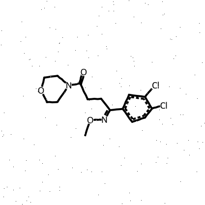 CON=C(CCC(=O)N1CCOCC1)c1ccc(Cl)c(Cl)c1